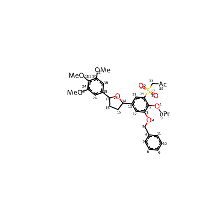 CCCOc1c(OCc2ccccc2)cc(C2CCC(c3cc(OC)c(OC)c(OC)c3)O2)cc1S(=O)(=O)CC(C)=O